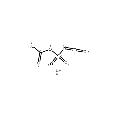 O=C=NS(=O)(=O)OC(=O)C(F)(F)F.[LiH]